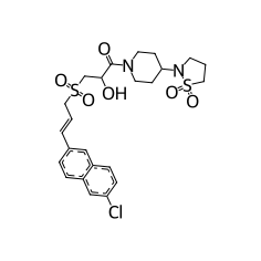 O=C(C(O)CS(=O)(=O)CC=Cc1ccc2cc(Cl)ccc2c1)N1CCC(N2CCCS2(=O)=O)CC1